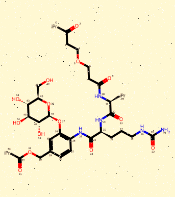 CC(C)C(=O)CCOCCC(=O)N[C@H](C(=O)N[C@@H](CCCNC(N)=O)C(=O)Nc1ccc(COC(=O)C(C)C)cc1O[C@@H]1O[C@H](CO)[C@@H](O)[C@H](O)[C@H]1O)C(C)C